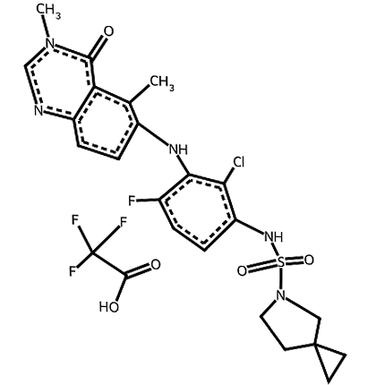 Cc1c(Nc2c(F)ccc(NS(=O)(=O)N3CCC4(CC4)C3)c2Cl)ccc2ncn(C)c(=O)c12.O=C(O)C(F)(F)F